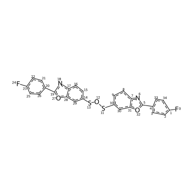 Fc1ccc(-c2nc3ccc(SOSc4ccc5nc(-c6ccc(F)cc6)oc5c4)cc3o2)cc1